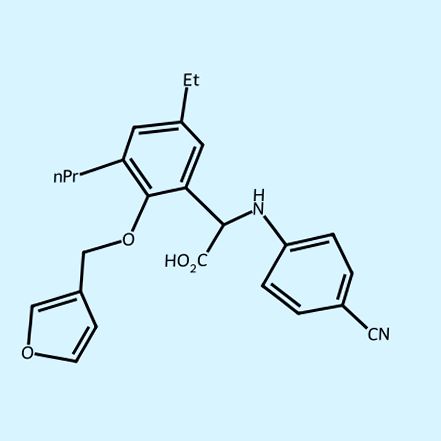 CCCc1cc(CC)cc(C(Nc2ccc(C#N)cc2)C(=O)O)c1OCc1ccoc1